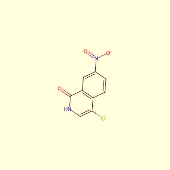 O=c1[nH]cc(Cl)c2ccc([N+](=O)[O-])cc12